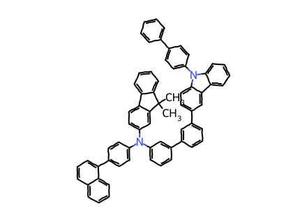 CC1(C)c2ccccc2-c2ccc(N(c3ccc(-c4cccc5ccccc45)cc3)c3cccc(-c4cccc(-c5ccc6c(c5)c5ccccc5n6-c5ccc(-c6ccccc6)cc5)c4)c3)cc21